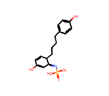 O=P(O)(O)/N=C1\C=C(O)C=CC1CCCCc1ccc(O)cc1